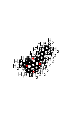 Bc1c(B)c(B)c(-c2c(B)c(B)c3c(c2B)c(B)c(B)c2c(B)c(-c4c5c(B)c(B)c(B)c(B)c5c(-c5c(B)c(B)c(B)c6oc7c(B)c(B)c(B)c(B)c7c56)c5c(B)c(B)c(B)c(B)c45)c(B)c(B)c23)c(B)c1B